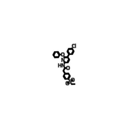 CCS(=O)(=O)c1ccc(CC(=O)Nc2ccc(-c3ccc(Cl)cc3)c(Oc3ccccc3)n2)cc1